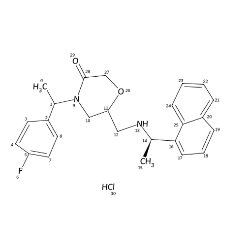 CC(c1ccc(F)cc1)N1CC(CN[C@H](C)c2cccc3ccccc23)OCC1=O.Cl